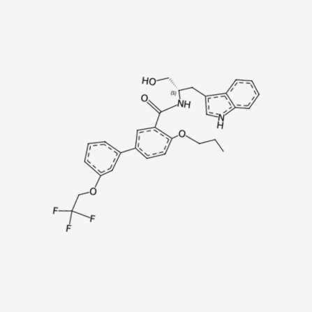 CCCOc1ccc(-c2cccc(OCC(F)(F)F)c2)cc1C(=O)N[C@H](CO)Cc1c[nH]c2ccccc12